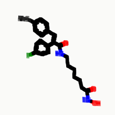 CSc1ccc(C=C(C(=O)NCCCCCCC(=O)NO)c2ccc(F)cc2)cc1